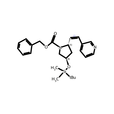 CC(C)(C)[Si](C)(C)O[C@@H]1C[C@@H](/C=C\c2cccnc2)N(C(=O)OCc2ccccc2)C1